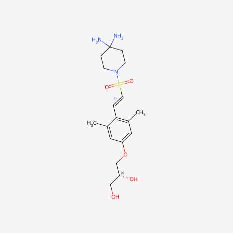 Cc1cc(OC[C@H](O)CO)cc(C)c1/C=C/S(=O)(=O)N1CCC(N)(N)CC1